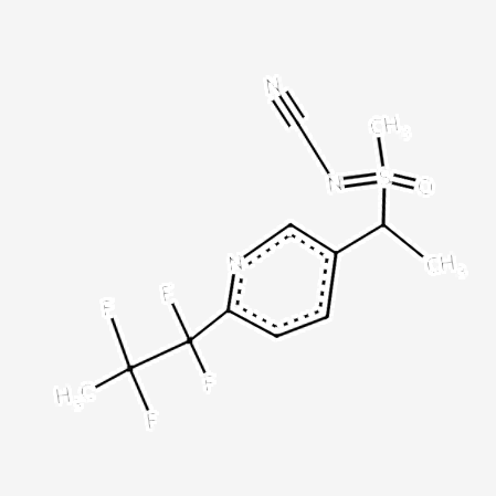 CC(c1ccc(C(F)(F)C(C)(F)F)nc1)S(C)(=O)=NC#N